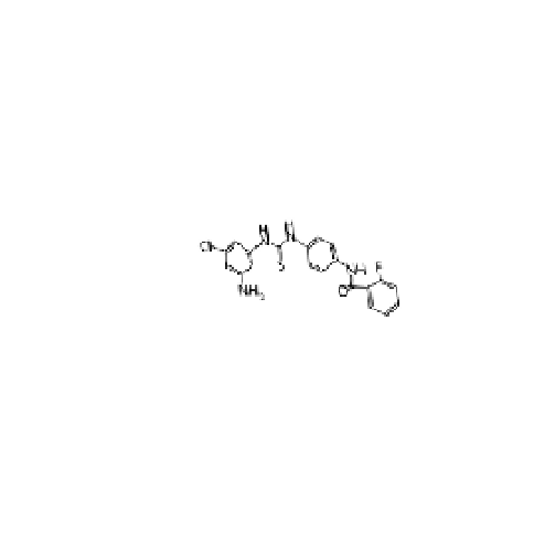 Nc1cc(Cl)cc(NC(=S)Nc2ccc(NC(=O)c3ccccc3F)cc2)c1